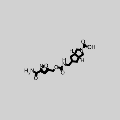 NC(=O)c1cc(COC(=O)NCC2C[C@@H]3CN(C(=O)O)C[C@@H]3C2)on1